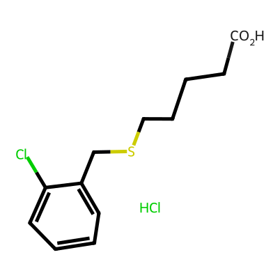 Cl.O=C(O)CCCCSCc1ccccc1Cl